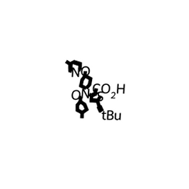 Cc1ccc(OC2CCC(N(C(=O)C3CCC(C)CC3)c3cc(C#CC(C)(C)C)sc3C(=O)O)CC2)nc1